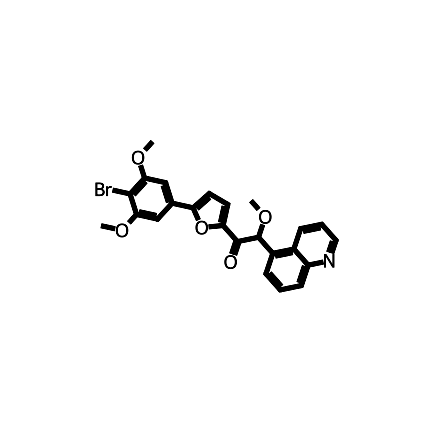 COc1cc(-c2ccc(C(=O)C(OC)c3cccc4ncccc34)o2)cc(OC)c1Br